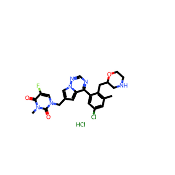 Cc1cc(Cl)cc(-c2ncnn3cc(Cn4cc(F)c(=O)n(C)c4=O)cc23)c1CC1CNCCO1.Cl